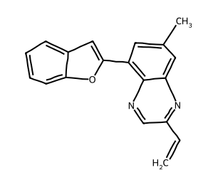 C=Cc1cnc2c(-c3cc4ccccc4o3)cc(C)cc2n1